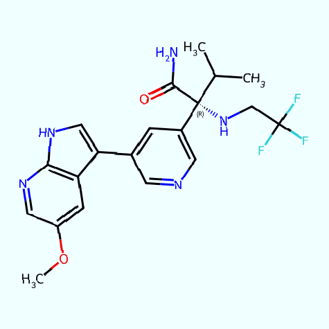 COc1cnc2[nH]cc(-c3cncc([C@@](NCC(F)(F)F)(C(N)=O)C(C)C)c3)c2c1